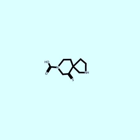 O=C(O)N1CCC2(CCNC2)C(=S)C1